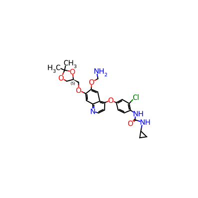 CC1(C)OC[C@H](COc2cc3nccc(Oc4ccc(NC(=O)NC5CC5)c(Cl)c4)c3cc2OCN)O1